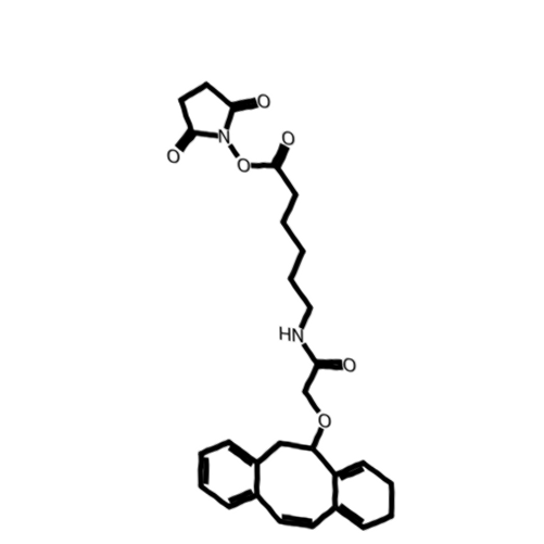 O=C(COC1Cc2ccccc2/C=C\C2=CCCC=C21)NCCCCCC(=O)ON1C(=O)CCC1=O